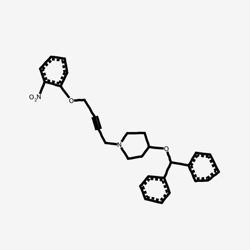 O=[N+]([O-])c1ccccc1OCC#CCN1CCC(OC(c2ccccc2)c2ccccc2)CC1